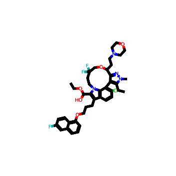 CCOC(O)c1c(CCCOc2cccc3cc(F)ccc23)c2ccc(Cl)c3c2n1CCC(F)(F)COC(CCN1CCOCC1)c1nn(C)c(CC)c1-3